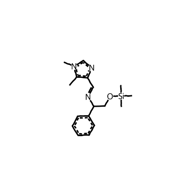 Cc1c(C=NC(CO[Si](C)(C)C)c2ccccc2)ncn1C